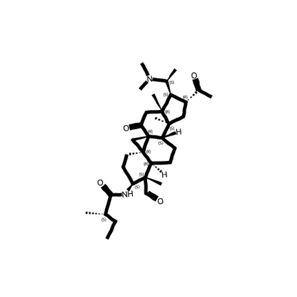 CC[C@H](C)C(=O)N[C@H]1CC[C@]23C[C@]24C(=O)C[C@]2(C)[C@@H]([C@H](C)N(C)C)[C@H](C(C)=O)C[C@@]2(C)[C@@H]4CC[C@H]3[C@]1(C)C=O